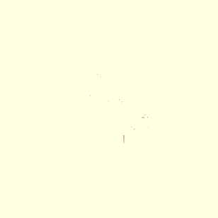 Cc1cccn2c(C(C)(C)NC(=O)[C@@H]3CNCCN3CC3(C)COC3)ncc12